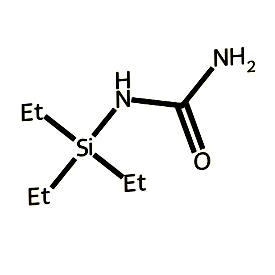 CC[Si](CC)(CC)NC(N)=O